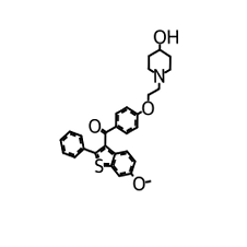 COc1ccc2c(C(=O)c3ccc(OCCN4CCC(O)CC4)cc3)c(-c3ccccc3)sc2c1